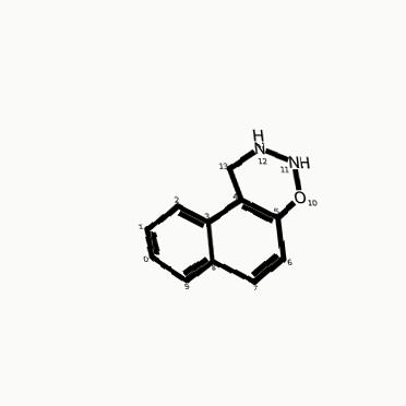 c1ccc2c3c(ccc2c1)ONNC3